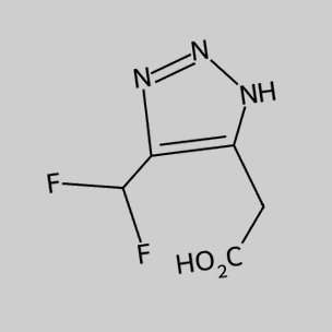 O=C(O)Cc1[nH]nnc1C(F)F